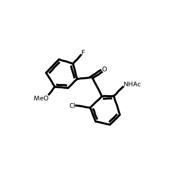 COc1ccc(F)c(C(=O)c2c(Cl)cccc2NC(C)=O)c1